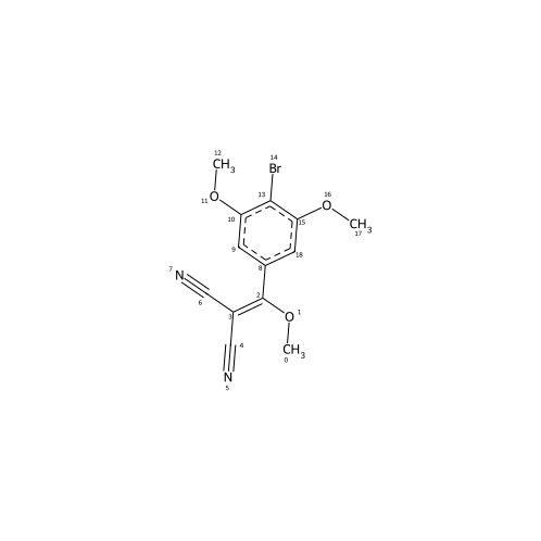 COC(=C(C#N)C#N)c1cc(OC)c(Br)c(OC)c1